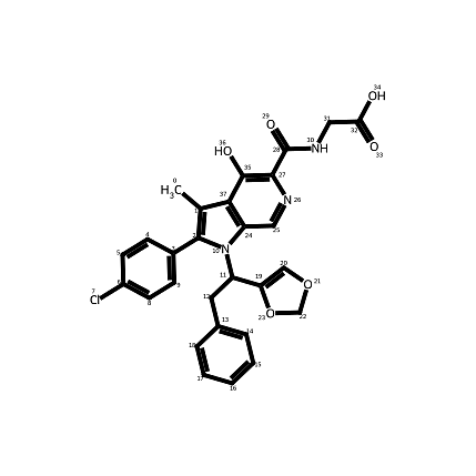 Cc1c(-c2ccc(Cl)cc2)n(C(Cc2ccccc2)C2=COCO2)c2cnc(C(=O)NCC(=O)O)c(O)c12